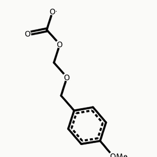 COc1ccc(COCOC([O])=O)cc1